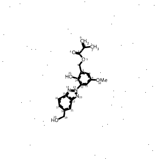 C=C(C)C(=O)OCc1cc(OC)cc(-n2nc3ccc(CO)cc3n2)c1O